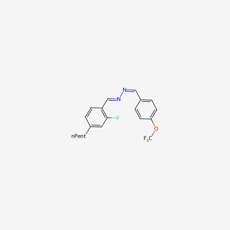 CCCCCc1ccc(/C=N/N=C\c2ccc(OC(F)(F)F)cc2)c(F)c1